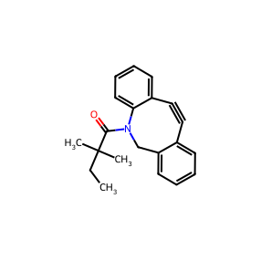 CCC(C)(C)C(=O)N1Cc2ccccc2C#Cc2ccccc21